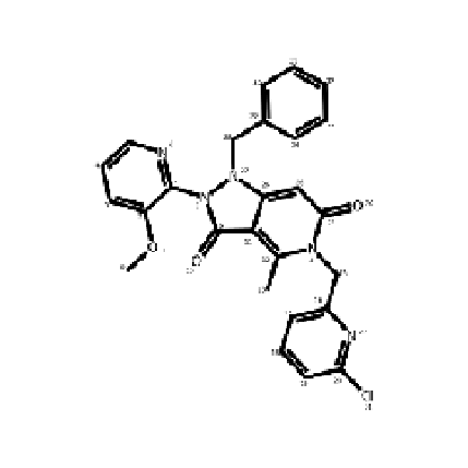 COc1cccnc1-n1c(=O)c2c(C)n(Cc3cccc(Cl)n3)c(=O)cc2n1Cc1ccccc1